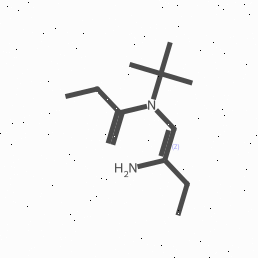 C=C(CC)N(/C=C(\N)CC)C(C)(C)C